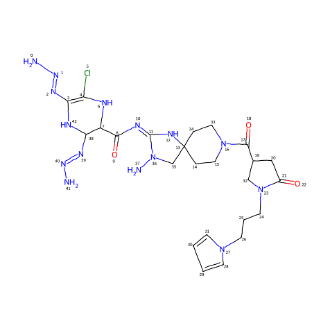 NN=NC1=C(Cl)NC(C(=O)/N=C2/NC3(CCN(C(=O)C4CC(=O)N(CCCn5cccc5)C4)CC3)CN2N)C(N=NN)N1